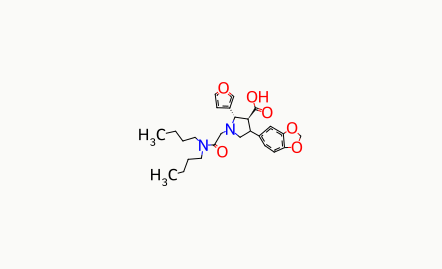 CCCCN(CCCC)C(=O)CN1CC(c2ccc3c(c2)OCO3)[C@H](C(=O)O)[C@H]1c1ccoc1